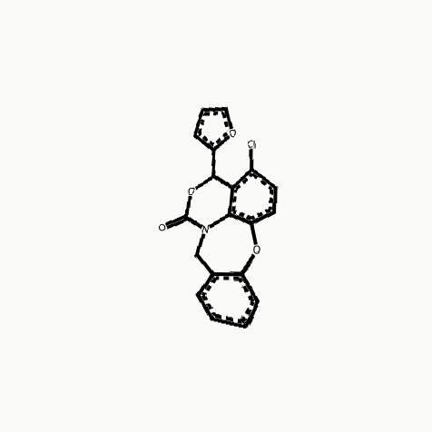 O=C1OC(c2ccco2)c2c(Cl)ccc3c2N1Cc1ccccc1O3